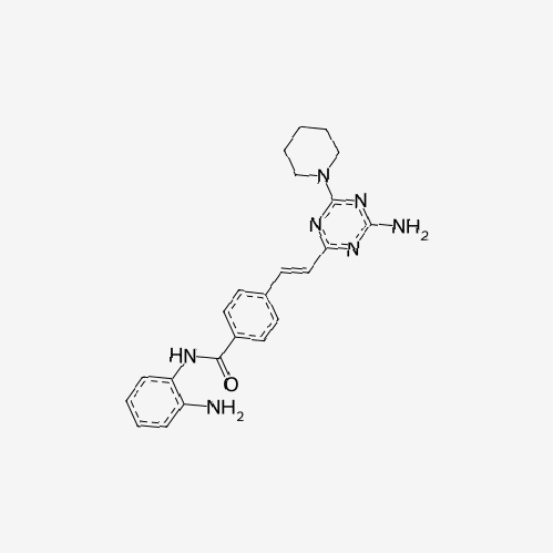 Nc1nc(/C=C/c2ccc(C(=O)Nc3ccccc3N)cc2)nc(N2CCCCC2)n1